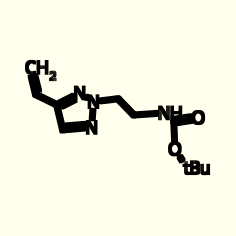 C=Cc1cnn(CCNC(=O)OC(C)(C)C)n1